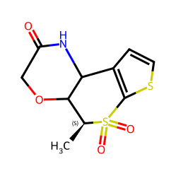 C[C@H]1C2OCC(=O)NC2c2ccsc2S1(=O)=O